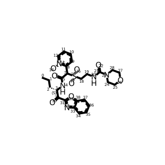 CCC[C@H](NC(=O)C(c1cccc[n+]1[O-])S(=O)(=O)CCNC(=O)N1CCOCC1)C(=O)c1nc2ccccc2o1